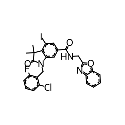 CC1(C)C(=O)N(Cc2c(F)cccc2Cl)c2cc(C(=O)NCc3nc4ccccc4o3)cc(I)c21